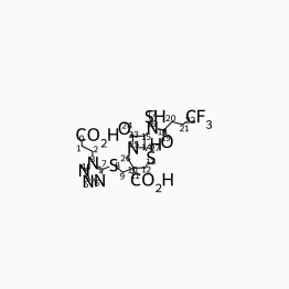 O=C(O)CCn1nnnc1SCC1(C(=O)O)CS[C@@H]2C(N(S)C(=O)CCC(F)(F)F)C(=O)N2C1